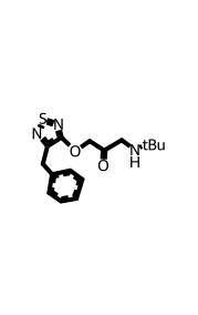 CC(C)(C)NCC(=O)COc1nsnc1Cc1ccccc1